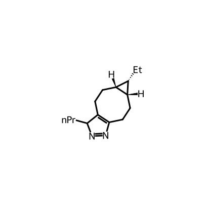 CCCC1N=NC2=C1CC[C@@H]1[C@H](CC)[C@@H]1CC2